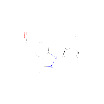 Cc1nn(-c2cccc(F)c2)c2ccc(C=O)cc12